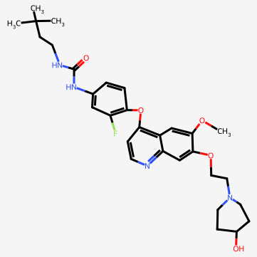 COc1cc2c(Oc3ccc(NC(=O)NCCC(C)(C)C)cc3F)ccnc2cc1OCCN1CCC(O)CC1